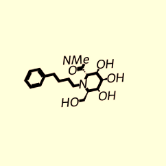 CNC(=O)[C@@H]1[C@@H](O)[C@@H](O)[C@H](O)[C@@H](CO)N1CCCCc1ccccc1